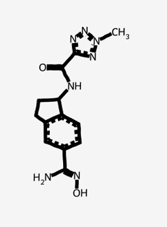 Cn1nnc(C(=O)NC2CCc3cc(C(N)=NO)ccc32)n1